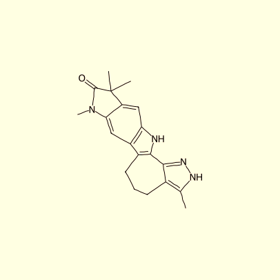 Cc1[nH]nc2c1CCCc1c-2[nH]c2cc3c(cc12)N(C)C(=O)C3(C)C